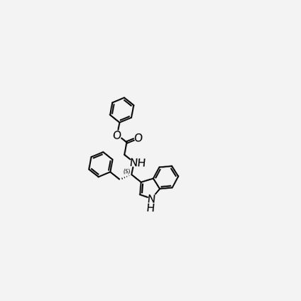 O=C(CN[C@@H](Cc1ccccc1)c1c[nH]c2ccccc12)Oc1ccccc1